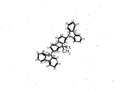 CCC1(C)c2cc(-n3c4ccccc4c4ccccc43)ccc2-c2ccc(-n3c4ccccc4c4ccccc43)cc21